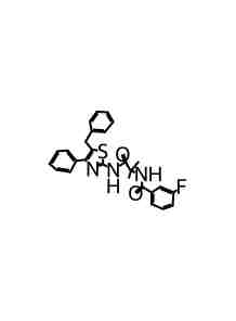 CC(C)(NC(=O)c1cccc(F)c1)C(=O)Nc1nc(-c2ccccc2)c(Cc2ccccc2)s1